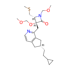 COCO[C@@]1(Cc2nccc3c2C[C@H](CCC2CC2)C3)C(=O)N(COC)[C@H]1CSC